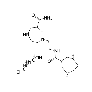 Cl.Cl.Cl.Cl.Cl.Cl.NC(=O)C1CNCCN(CCNC(=O)C2CNCCNC2)C1